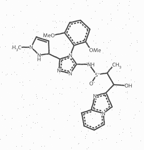 COc1cccc(OC)c1-n1c(N[S+]([O-])C(C)C(O)c2cn3ccccc3n2)nnc1C1C=CN(C)N1